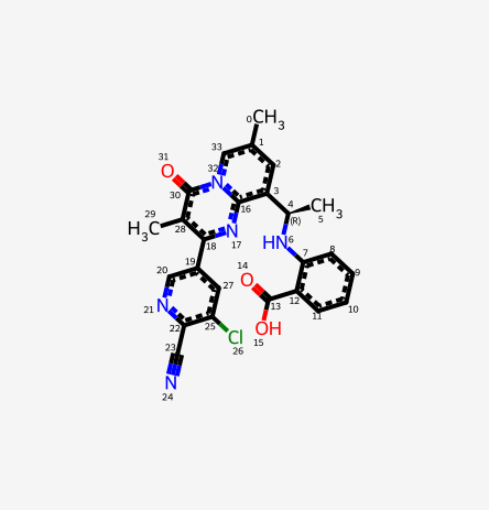 Cc1cc([C@@H](C)Nc2ccccc2C(=O)O)c2nc(-c3cnc(C#N)c(Cl)c3)c(C)c(=O)n2c1